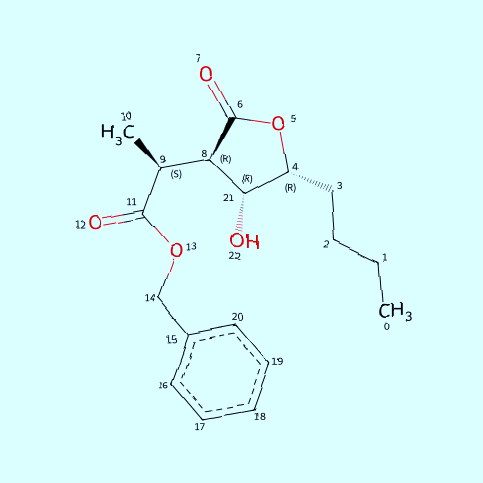 CCCC[C@H]1OC(=O)[C@H]([C@H](C)C(=O)OCc2ccccc2)[C@H]1O